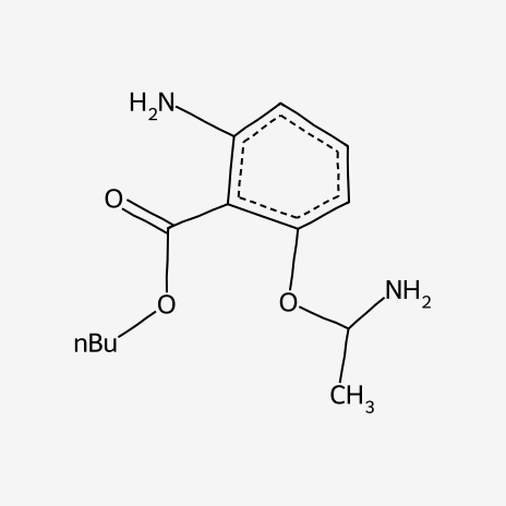 CCCCOC(=O)c1c(N)cccc1OC(C)N